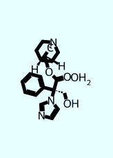 O.O=C(O[C@H]1C[N@]2CC[C@H]1CC2)[C@](CO)(c1ccccc1)n1ccnc1